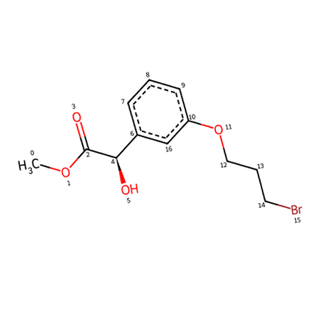 COC(=O)[C@H](O)c1cccc(OCCCBr)c1